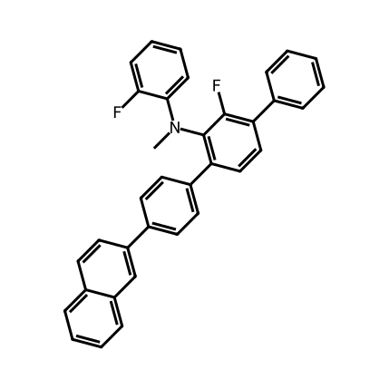 CN(c1ccccc1F)c1c(-c2ccc(-c3ccc4ccccc4c3)cc2)ccc(-c2ccccc2)c1F